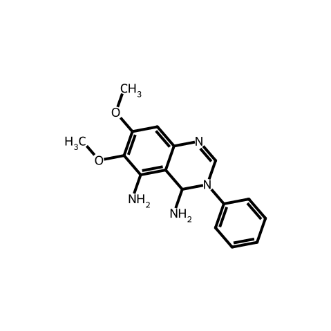 COc1cc2c(c(N)c1OC)C(N)N(c1ccccc1)C=N2